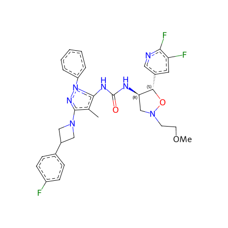 COCCN1C[C@@H](NC(=O)Nc2c(C)c(N3CC(c4ccc(F)cc4)C3)nn2-c2ccccc2)[C@H](c2cnc(F)c(F)c2)O1